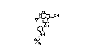 CS(=O)(=O)CCn1ncc2c(Nc3nc(NC4CC4)c4c(Cl)cn(CO)c4n3)cccc21